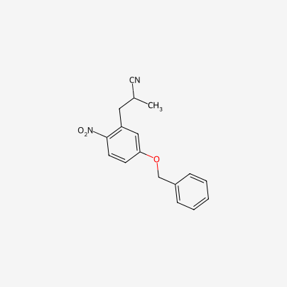 CC(C#N)Cc1cc(OCc2ccccc2)ccc1[N+](=O)[O-]